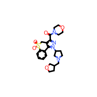 O=C(c1nn(C2CCN(CC3CCOC3)C2)c2c1CS(=O)(=O)c1ccccc1-2)N1CCOCC1